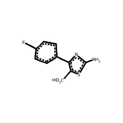 Nc1nc(-c2ccc(F)cc2)c(C(=O)O)s1